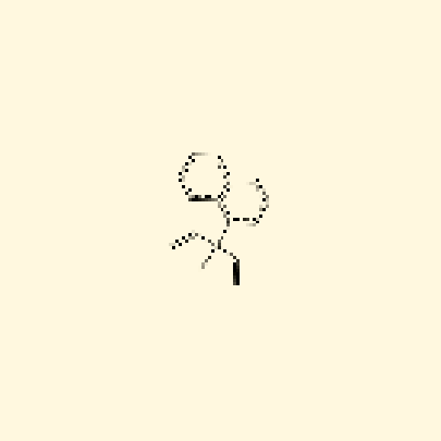 C=C[Si](F)(C=C)c1cccc2ccccc12